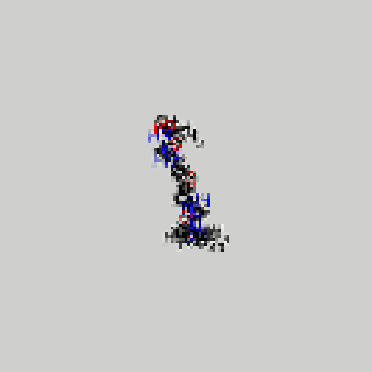 COC(=O)N[C@H](C(=O)N1CCC[C@H]1c1ncc(-c2ccc3c(c2)COc2cc4c(cc2-3)CCc2nc([C@@H]3CCCN3C(=O)[C@H](N=C(N(C)C)N(C)C)c3ccccc3)[nH]c2-4)[nH]1)C(C)C